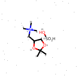 CC1(C)OCC(C[N+](C)(C)C)O1.O=S(=O)(O)O